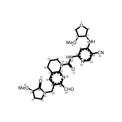 CO[C@H]1COC[C@H]1Nc1cc(NC(=O)N2CCCc3cc(CN4CC[C@@H](OC)C4=O)c(C=O)nc32)ncc1C#N